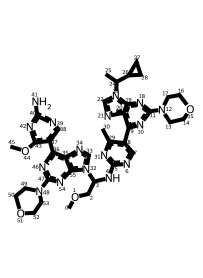 COCC(Nc1ncc(-c2nc(N3CCOCC3)nc3c2ncn3C(C)C2CC2)c(C)n1)n1cnc2c(-c3cnc(N)nc3OC)nc(N3CCOCC3)nc21